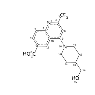 O=C(O)c1ccc2nc(C(F)(F)F)cc(N3CCC(CO)CC3)c2c1